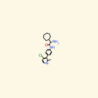 Cc1nccc(Cl)c1-c1ccc(NC(=O)[C@@H](N)C2CCCCCC2)cc1